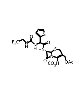 CC(=O)OCC1=C(C(=O)O)N2C(=O)[C@H](NC(=O)C(NC(=O)NCC(F)(F)F)c3cccs3)C2SC1